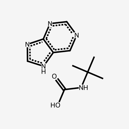 CC(C)(C)NC(=O)O.c1ncc2[nH]cnc2n1